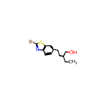 CCC(CO)CCc1ccc2nc(Br)sc2c1